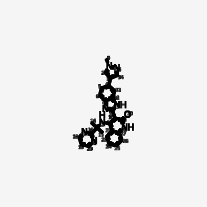 Cn1cc(-c2ccc3nc(-c4c(NC(C)(C)c5ncccn5)c5ccccc5[nH]c4=O)[nH]c3c2)cn1